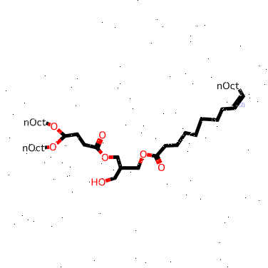 CCCCCCCC/C=C\CCCCCCCC(=O)OCC(CO)COC(=O)CCC(OCCCCCCCC)OCCCCCCCC